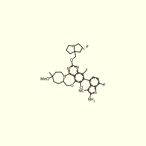 COC1(C)CCC2COc3c(Cl)c(-c4ccc(F)c5sc(N)c(C#N)c45)c(F)c4nc(OCC56CCCN5C[C@H](F)C6)nc(c34)N2CC1